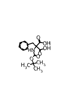 CC(C)(C)OC(=O)NC(Cc1ccccc1)(C(=O)O)C(=O)O